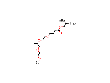 CCCCCCC(CCCC)COC(=O)CCCOCCOC(C)COCCOCC